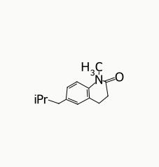 CC(C)Cc1ccc2c(c1)CCC(=O)N2C